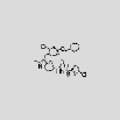 Cc1nc2ccc(C(=O)NS(=O)(=O)c3ccc(Cl)s3)nc2n1Cc1ccc(OCC2CCCCC2)cc1Cl